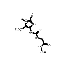 CCOC(=O)c1c(NC(=O)NCC(=O)OC(C)(C)C)nc(Br)n1C